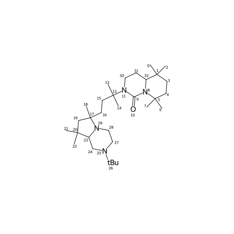 CC1(C)CCC(C)(C)N2C(=O)N(C(C)(C)CCC3(C)CC(C)(C)C4CN(C(C)(C)C)CCN43)CCC21